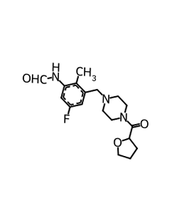 Cc1c(CN2CCN(C(=O)C3CCCO3)CC2)cc(F)cc1NC=O